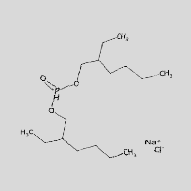 CCCCC(CC)CO[PH](=O)OCC(CC)CCCC.[Cl-].[Na+]